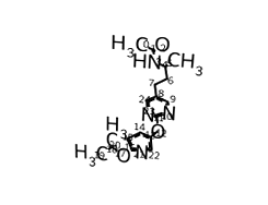 CC(=O)NC(C)CCc1cnc(Oc2ccc(OC(C)C)nc2)nc1